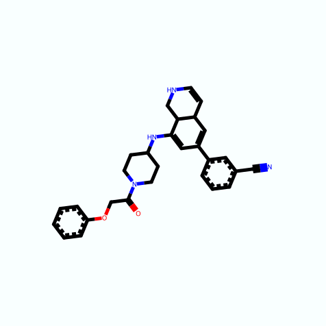 N#Cc1cccc(C2=CC3C=CNCC3C(NC3CCN(C(=O)COc4ccccc4)CC3)=C2)c1